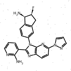 Nc1ncccc1-c1nc2ccc(-n3cccn3)nc2n1-c1ccc2c(c1)C[C@H](F)[C@@H]2N